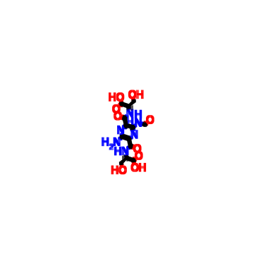 Nc1nc(C(=O)N[C@H](CO)C(=O)O)c(NC=O)nc1C(=O)N[C@H](CO)C(=O)O